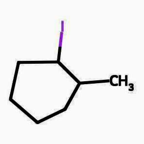 CC1CCCCC1I